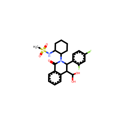 CS(=O)(=O)NC1CCCCC1N1C(=O)c2ccccc2C(C(O)O)C1c1ccc(F)cc1F